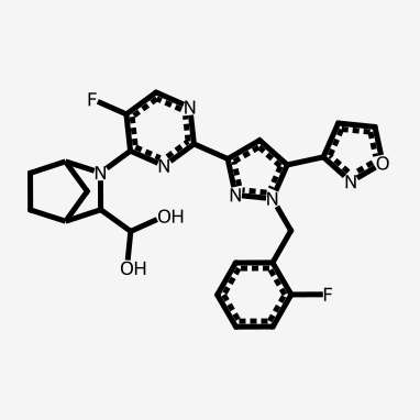 OC(O)C1C2CCC(C2)N1c1nc(-c2cc(-c3ccon3)n(Cc3ccccc3F)n2)ncc1F